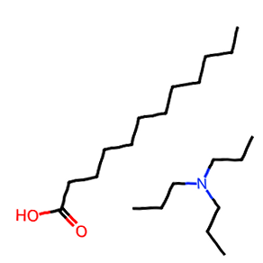 CCCCCCCCCCCC(=O)O.CCCN(CCC)CCC